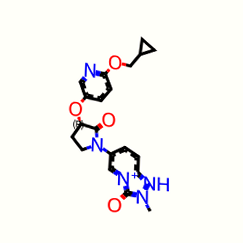 Cn1[nH]c2ccc(N3CC[C@@H](Oc4ccc(OCC5CC5)nc4)C3=O)c[n+]2c1=O